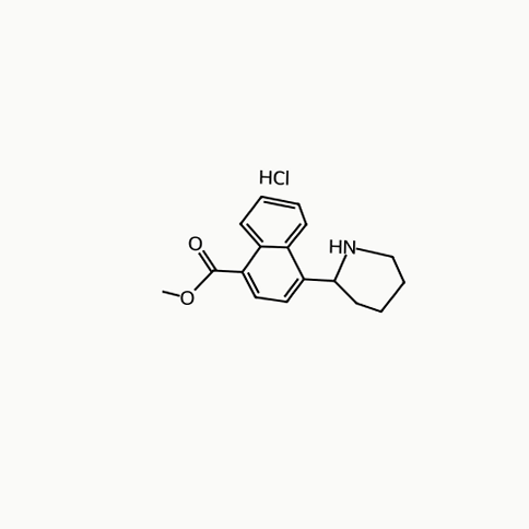 COC(=O)c1ccc(C2CCCCN2)c2ccccc12.Cl